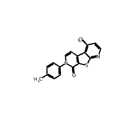 Cc1ccc(-n2ccc3c(sc4nccc(Cl)c43)c2=O)cc1